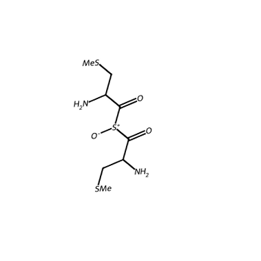 CSCC(N)C(=O)[S+]([O-])C(=O)C(N)CSC